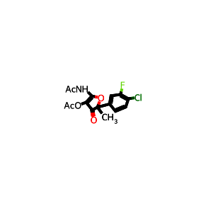 CC(=O)NC1=C(OC(C)=O)C(=O)C(C)(c2ccc(Cl)c(F)c2)O1